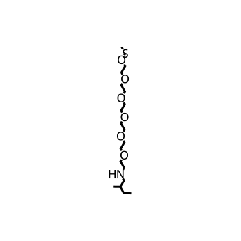 CCC(C)CNCCOCCOCCOCCOCCOCCOSC